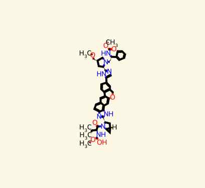 COC[C@H]1C[C@@H](c2ncc(-c3ccc4c(c3)COc3cc5c(ccc6nc([C@@H]7C[C@@H]8CC8N7C(=O)[C@@H](NC(O)OC)C(C)C)[nH]c65)cc3-4)[nH]2)N(C[C@H](NC(=O)OC)c2ccccc2)C1